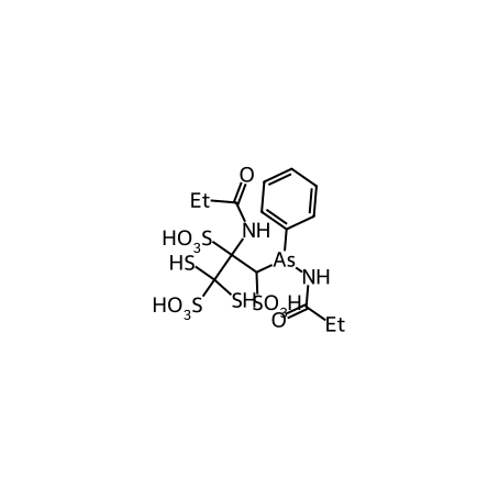 CCC(=O)N[As](c1ccccc1)C(C(NC(=O)CC)(C(S)(S)S(=O)(=O)O)S(=O)(=O)O)S(=O)(=O)O